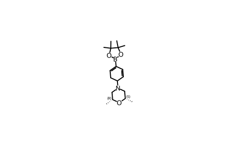 C[C@@H]1CN(C2C=CC(B3OC(C)(C)C(C)(C)O3)=CC2)C[C@H](C)O1